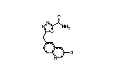 NC(=O)c1nnc(Cc2ccc3ncc(Cl)cc3c2)o1